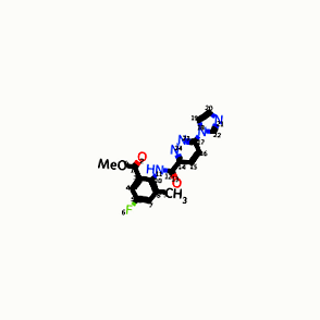 COC(=O)c1cc(F)cc(C)c1NC(=O)c1ccc(-n2ccnc2)nn1